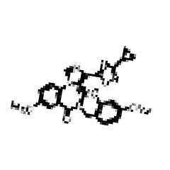 COc1ccc(CN2Cc3c(-c4nc(C5CC5)no4)ncn3-c3ccc(OC)cc3C2=O)c(OC)c1